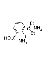 CCOCC.N.N.O=C(O)c1ccccc1I